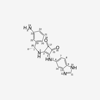 C[C@@H](Nc1c(Nc2ccc3[nH]cnc3c2)c(=O)c1=O)c1cccc(N)c1